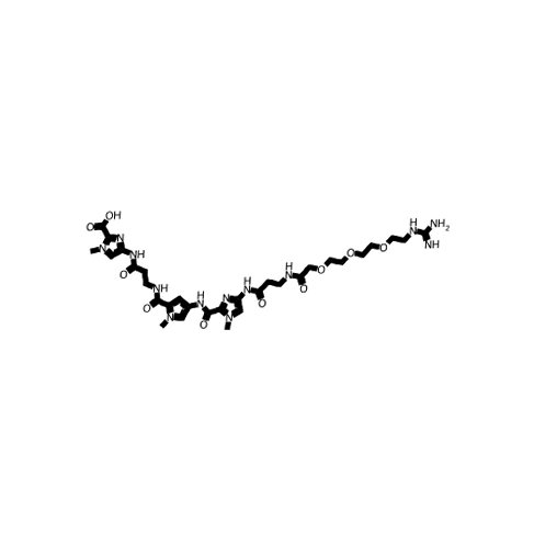 Cn1cc(NC(=O)c2nc(NC(=O)CCNC(=O)COCCOCCOCCNC(=N)N)cn2C)cc1C(=O)NCCC(=O)Nc1cn(C)c(C(=O)O)n1